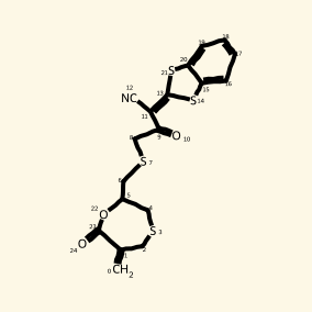 C=C1CSCC(CSCC(=O)C(C#N)=C2Sc3ccccc3S2)OC1=O